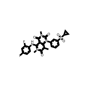 Cc1c(=O)n(C)c(Nc2ccc(I)cc2F)c2c(=O)n(C)c(=O)n(-c3cccc(S(=O)(=O)C4CC4)c3)c12